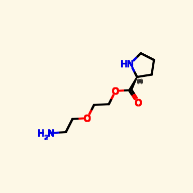 NCCOCCOC(=O)[C@@H]1CCCN1